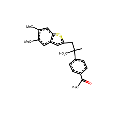 COC(=O)c1ccc(C(C)(Cc2cc3cc(OC)c(OC)cc3s2)C(=O)O)cc1